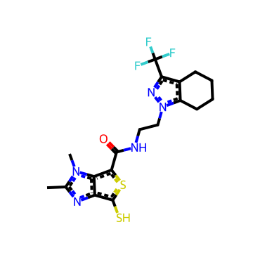 Cc1nc2c(S)sc(C(=O)NCCn3nc(C(F)(F)F)c4c3CCCC4)c2n1C